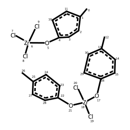 Cc1ccc([O][Zr]([Cl])([Cl])[Cl])cc1.Cc1ccc([O][Zr]([Cl])([Cl])[O]c2ccc(C)cc2)cc1